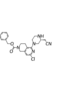 N#CC[C@H]1CN(c2nc(Cl)cc3c2CCN(C(=O)OCc2ccccc2)C3)CCN1